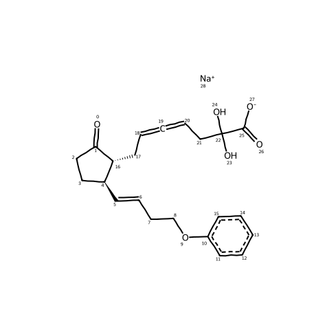 O=C1CC[C@H](/C=C/CCOc2ccccc2)[C@H]1CC=C=CCC(O)(O)C(=O)[O-].[Na+]